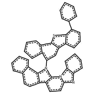 c1ccc(-c2cccc3c2sc2c4ccccc4c(-n4c5c6ccccc6ccc5c5ccc6nc7ccccc7n6c54)cc32)cc1